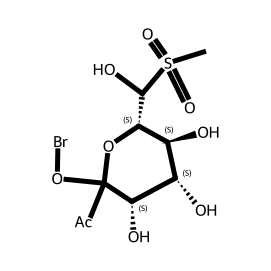 CC(=O)C1(OBr)O[C@H](C(O)S(C)(=O)=O)[C@@H](O)[C@H](O)[C@@H]1O